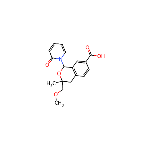 COCC1(C)Cc2ccc(C(=O)O)cc2C(n2ccccc2=O)O1